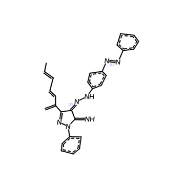 C=C(C=CC=CC)C1=NN(c2ccccc2)C(=N)/C1=N\Nc1ccc(/N=N/c2ccccc2)cc1